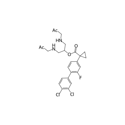 CC(=O)CNCC(CNCC(C)=O)OC(=O)C1(c2ccc(-c3ccc(Cl)c(Cl)c3)c(F)c2)CC1